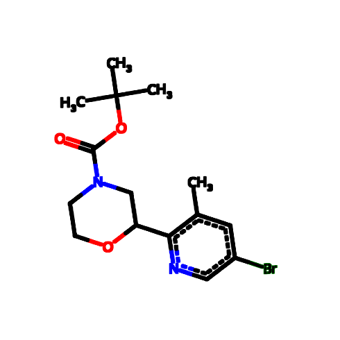 Cc1cc(Br)cnc1C1CN(C(=O)OC(C)(C)C)CCO1